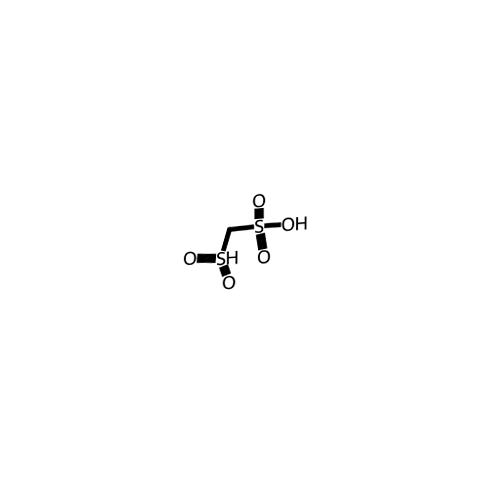 O=[SH](=O)CS(=O)(=O)O